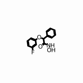 O=C(NO)C(Oc1cccc(F)c1)c1ccccc1